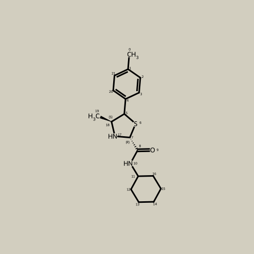 Cc1ccc(C2S[C@H](C(=O)NC3CCCCC3)N[C@H]2C)cc1